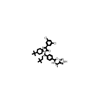 C[C@@H](NC(=O)c1ccc([C@@H](CCC(C)(C)C)N2C(=O)C(c3cc(Cl)cc(Cl)c3)=NC23CCC(C(C)(C)C)CC3)cc1)c1nn[nH]n1